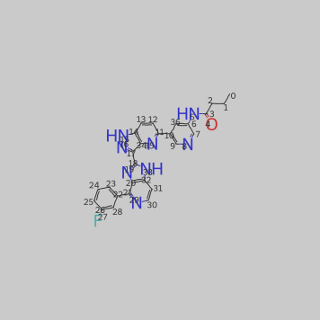 CCCC(=O)Nc1cncc(-c2ccc3[nH]nc(-c4nc5c(-c6cccc(F)c6)nccc5[nH]4)c3n2)c1